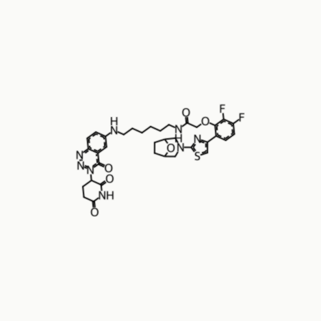 O=C(COc1c(-c2csc(N3CC4CCC(C3)O4)n2)ccc(F)c1F)NCCCCCCNc1ccc2nnn(C3CCC(=O)NC3=O)c(=O)c2c1